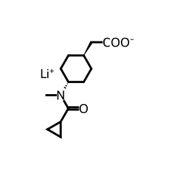 CN(C(=O)C1CC1)[C@H]1CC[C@H](CC(=O)[O-])CC1.[Li+]